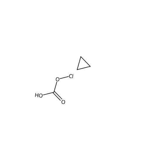 C1CC1.O=C(O)OCl